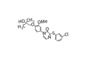 COc1cc(-n2ccnc(Sc3cccc(Cl)c3)c2=O)ccc1OCC(C)(C)O